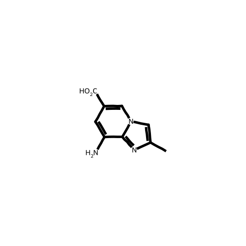 Cc1cn2cc(C(=O)O)cc(N)c2n1